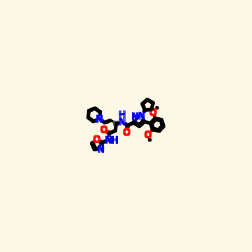 COc1cccc(OC)c1-c1cc(C(=O)N[C@@H](CCN2CCCCC2)CC(=O)Nc2ncco2)nn1C1CCCC1